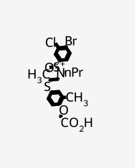 CCCN(C[C@@H](C)Sc1ccc(OCC(=O)O)c(C)c1)[S+]([O-])c1ccc(Br)c(Cl)c1